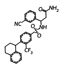 N#Cc1cccc(C(CC(N)=O)NS(=O)(=O)c2ccc(C3CCCc4ccccc43)c(C(F)(F)F)c2)c1